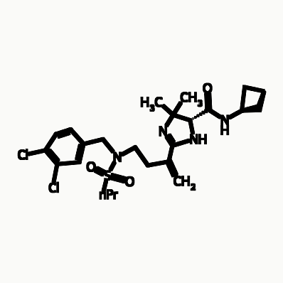 C=C(CCN(Cc1ccc(Cl)c(Cl)c1)S(=O)(=O)CCC)C1=NC(C)(C)[C@H](C(=O)NC23CC(C2)C3)N1